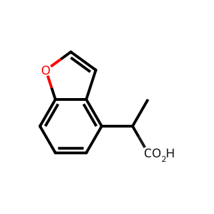 CC(C(=O)O)c1cccc2occc12